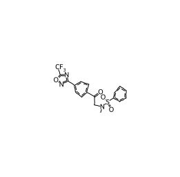 CN(CC(=O)c1ccc(-c2noc(C(F)(F)F)n2)cc1)S(=O)(=O)c1ccccc1